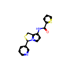 O=C(Nc1ccn2c1CSC2c1cccnc1)c1cccs1